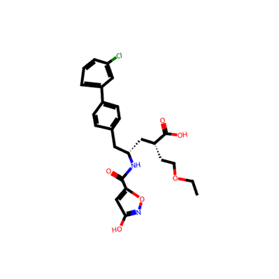 CCOCC[C@H](C[C@@H](Cc1ccc(-c2cccc(Cl)c2)cc1)NC(=O)c1cc(O)no1)C(=O)O